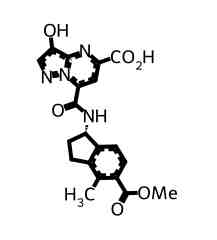 COC(=O)c1ccc2c(c1C)CC[C@@H]2NC(=O)c1cc(C(=O)O)nc2c(O)cnn12